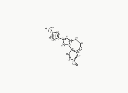 Cc1n[nH]c(-c2cn3c(n2)-c2ccc(Br)cc2OCC3)n1